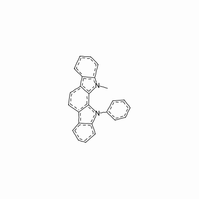 Cn1c2ccccc2c2ccc3c4ccccc4n(-c4ccccc4)c3c21